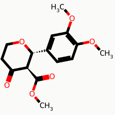 COC(=O)[C@H]1C(=O)CCO[C@@H]1c1ccc(OC)c(OC)c1